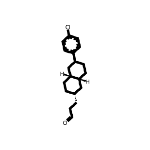 O=CCC[C@@H]1CC[C@@H]2CC(c3ccc(Cl)cc3)CC[C@@H]2C1